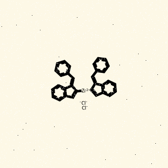 C1=[C]([Zr+2][C]2=Cc3ccccc3C2=Cc2ccccc2)C(=Cc2ccccc2)c2ccccc21.[Cl-].[Cl-]